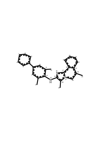 Cc1cc(-c2ccccc2)cc(C)c1Nc1nc2c3ccccc3c(C)cn2c1C